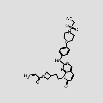 C=CC(=O)N1CC(CCn2c(=O)ccc3cnc(Nc4ccc(N5CCN(S(=O)(=O)CC#N)CC5)cc4)nc32)C1